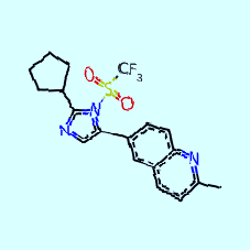 Cc1ccc2cc(-c3cnc(C4CCCC4)n3S(=O)(=O)C(F)(F)F)ccc2n1